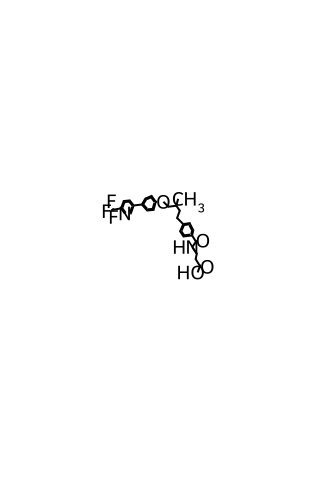 CC(CCc1ccc(C(=O)NCCC(=O)O)cc1)COc1ccc(-c2ccc(C(F)(F)F)nc2)cc1